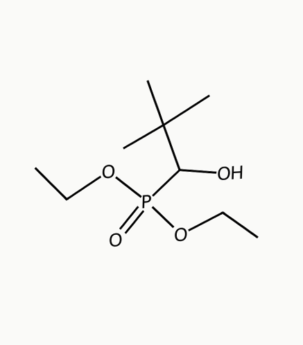 CCOP(=O)(OCC)C(O)C(C)(C)C